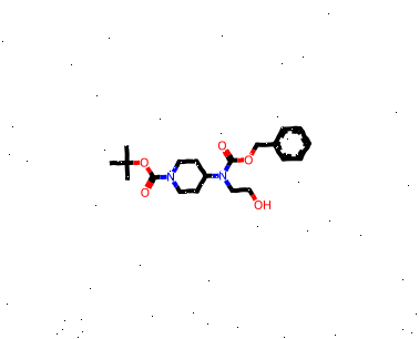 CC(C)(C)OC(=O)N1CCC(N(CCO)C(=O)OCc2ccccc2)CC1